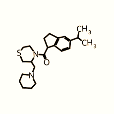 CC(C)c1ccc2c(c1)CCC2C(=O)N1CCSCC1CN1CCCCC1